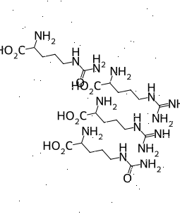 N=C(N)NCCCC(N)C(=O)O.N=C(N)NCCCC(N)C(=O)O.NC(=O)NCCCC(N)C(=O)O.NC(=O)NCCCC(N)C(=O)O